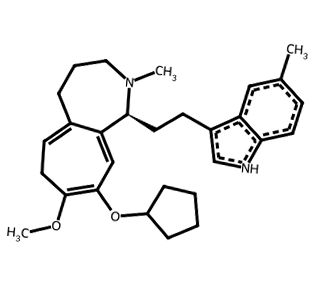 COC1=C(OC2CCCC2)C=C2C(=CC1)CCCN(C)[C@H]2CCc1c[nH]c2ccc(C)cc12